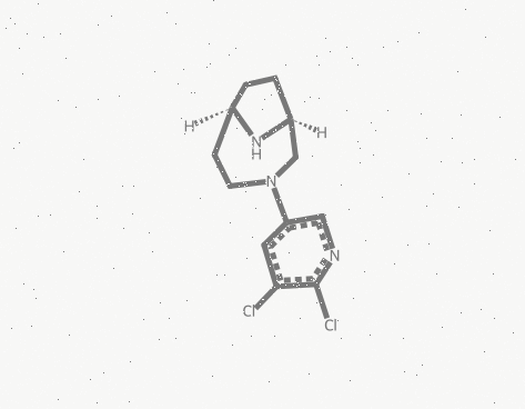 Clc1cc(N2CC[C@H]3CC[C@@H](C2)N3)cnc1Cl